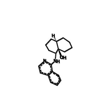 O[C@]12CCCC[C@@H]1CCCC2Nc1nccc2ccccc12